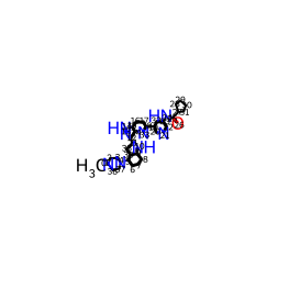 CN1CCN(c2cccc3[nH]c(-c4n[nH]c5ccc(-c6cncc(NC(=O)C7CCCC7)c6)nc45)cc23)CC1